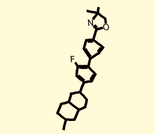 CC1CCC2CC(c3ccc(-c4ccc(C5=NC(C)(C)CO5)cc4)c(F)c3)CCC2C1